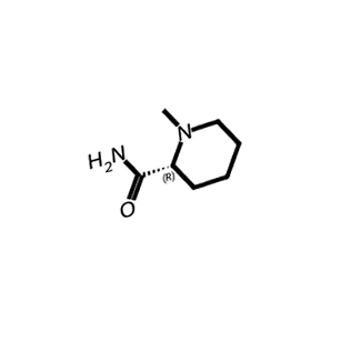 CN1CCCC[C@@H]1C(N)=O